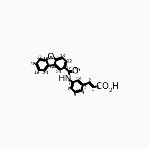 O=C(O)/C=C/c1cccc(NC(=O)c2ccc3oc4ccccc4c3c2)c1